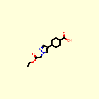 CCOC(=O)Cn1cc(C2CCC(C(=O)O)CC2)cn1